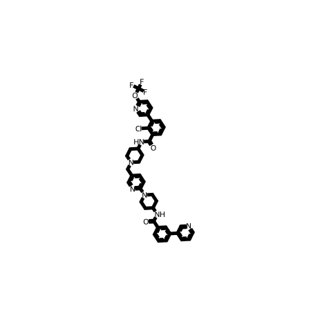 O=C(NC1CCN(c2ccc(CN3CCC(NC(=O)c4cccc(-c5ccc(OC(F)(F)F)nc5)c4Cl)CC3)cn2)CC1)c1cccc(-c2cccnc2)c1